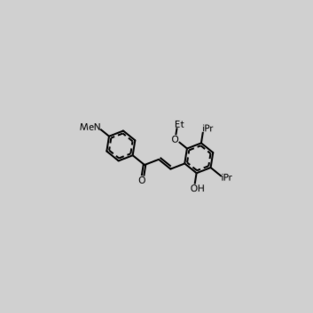 CCOc1c(C(C)C)cc(C(C)C)c(O)c1C=CC(=O)c1ccc(NC)cc1